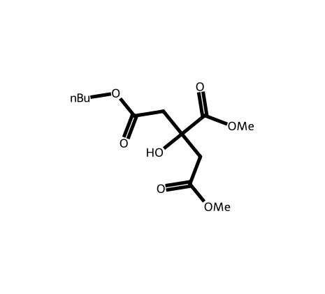 CCCCOC(=O)CC(O)(CC(=O)OC)C(=O)OC